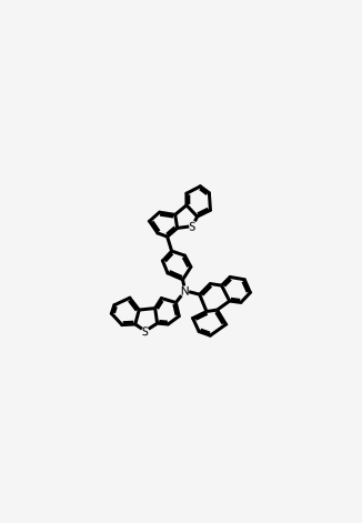 c1ccc2c(c1)cc(N(c1ccc(-c3cccc4c3sc3ccccc34)cc1)c1ccc3sc4ccccc4c3c1)c1ccccc12